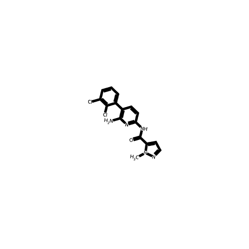 Cn1nccc1C(=O)Nc1ccc(-c2cccc(Cl)c2Cl)c(N)n1